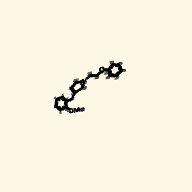 COc1ccccc1CC1CCN(CCOc2ccccc2)C1